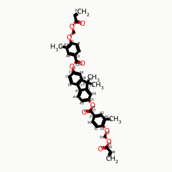 C=CC(=O)OCOc1ccc(C(=O)Oc2ccc3c(c2)C(C)(C)c2cc(OC(=O)c4ccc(OCOC(=O)C=C)c(C)c4)ccc2-3)cc1C